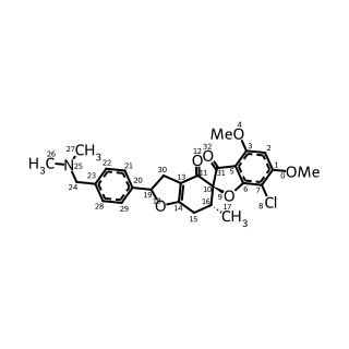 COc1cc(OC)c2c(c1Cl)O[C@@]1(C(=O)C3=C(C[C@H]1C)OC(c1ccc(CN(C)C)cc1)C3)C2=O